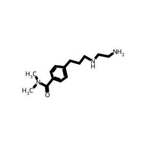 CN(C)C(=O)c1ccc(CCCNCCN)cc1